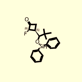 CC(C)(C)C(O[SiH](c1ccccc1)c1ccccc1)[C@@H]1CC(=O)[C@@H]1F